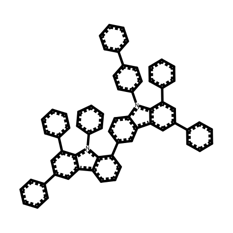 c1ccc(-c2ccc(-n3c4ccc(-c5cccc6c7cc(-c8ccccc8)cc(-c8ccccc8)c7n(-c7ccccc7)c56)cc4c4cc(-c5ccccc5)cc(-c5ccccc5)c43)cc2)cc1